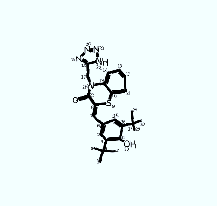 CC(C)(C)c1cc(C=C2Sc3ccccc3N(Cc3nnn[nH]3)C2=O)cc(C(C)(C)C)c1O